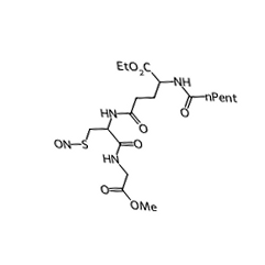 CCCCCC(=O)NC(CCC(=O)NC(CSN=O)C(=O)NCC(=O)OC)C(=O)OCC